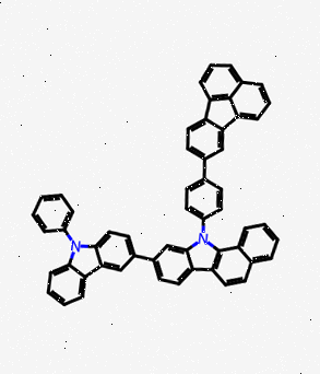 c1ccc(-n2c3ccccc3c3cc(-c4ccc5c6ccc7ccccc7c6n(-c6ccc(-c7ccc8c(c7)-c7cccc9cccc-8c79)cc6)c5c4)ccc32)cc1